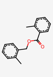 Cc1ccccc1COC(=O)c1ccccc1C